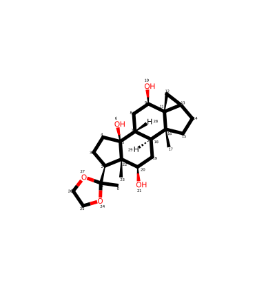 CC1([C@H]2CC[C@]3(O)[C@@H]4C[C@@H](O)[C@]56CC5CC[C@]6(C)[C@H]4C[C@@H](O)[C@]23C)OCCO1